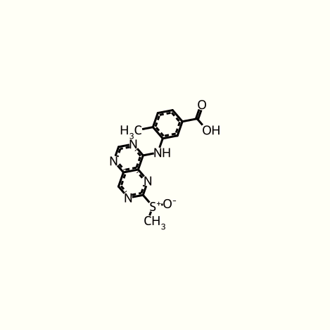 Cc1ccc(C(=O)O)cc1Nc1ncnc2cnc([S+](C)[O-])nc12